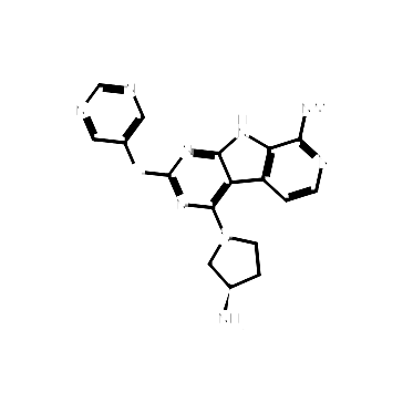 CNc1nccc2c1[nH]c1nc(Oc3cncnc3)nc(N3CC[C@@H](N)C3)c12